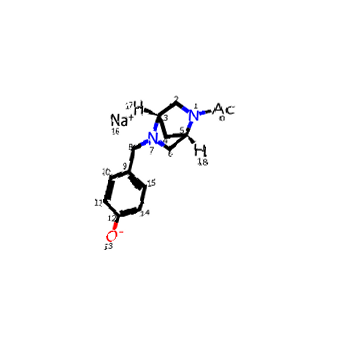 CC(=O)N1C[C@@H]2C[C@H]1CN2Cc1ccc([O-])cc1.[Na+]